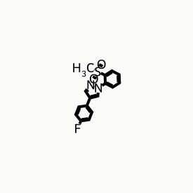 CS(=O)(=O)c1ccccc1-n1cc(-c2ccc(F)cc2)cn1